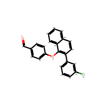 O=Cc1ccc(Oc2c(-c3cccc(Cl)c3)ccc3ccccc23)cc1